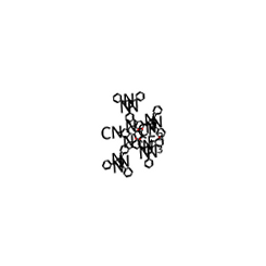 [C-]#[N+]c1cc(-n2c3ccc(-c4nc(-c5ccccc5)nc(-c5ccccc5)n4)cc3c3cc(-c4nc(-c5ccccc5)nc(-c5ccccc5)n4)ccc32)c(-c2cc(C(F)(F)F)cc(C(F)(F)F)c2)c(-n2c3ccc(-c4nc(-c5ccccc5)nc(-c5ccccc5)n4)cc3c3cc(-c4nc(-c5ccccc5)nc(-c5ccccc5)n4)ccc32)c1